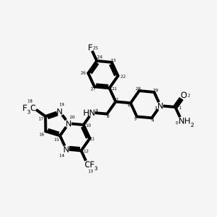 NC(=O)N1CCC(C(CNc2cc(C(F)(F)F)nc3cc(C(F)(F)F)nn23)c2ccc(F)cc2)CC1